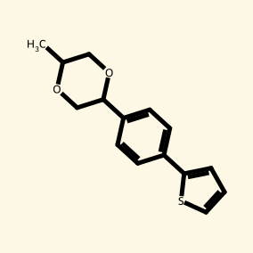 CC1COC(c2ccc(-c3cccs3)cc2)CO1